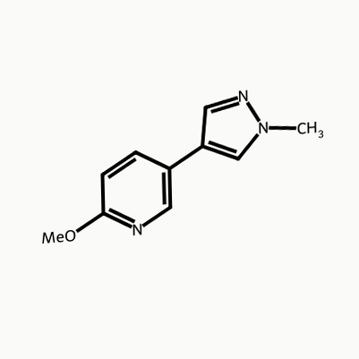 COc1ccc(-c2cnn(C)c2)cn1